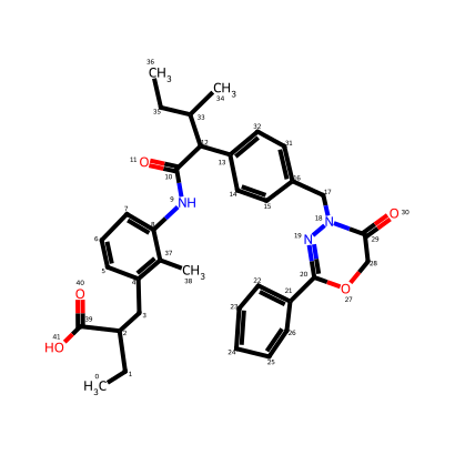 CCC(Cc1cccc(NC(=O)C(c2ccc(CN3N=C(c4ccccc4)OCC3=O)cc2)C(C)CC)c1C)C(=O)O